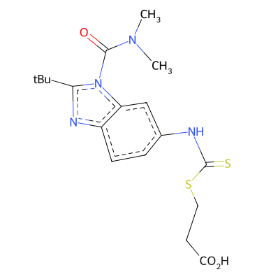 CN(C)C(=O)n1c(C(C)(C)C)nc2ccc(NC(=S)SCCC(=O)O)cc21